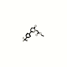 CCOC(=O)CN1N=C(c2ccc(C(F)(F)F)cc2)CCC1=O